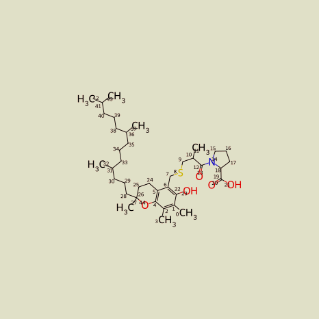 Cc1c(C)c2c(c(CSCC(C)C(=O)N3CCCC3C(=O)O)c1O)CCC(C)(CCCC(C)CCCC(C)CCCC(C)C)O2